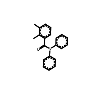 Cc1cccc(C(=O)N(c2ccccc2)c2ccccc2)c1C